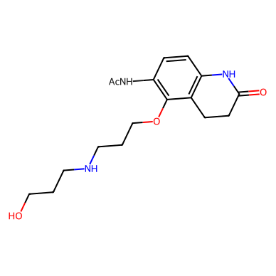 CC(=O)Nc1ccc2c(c1OCCCNCCCO)CCC(=O)N2